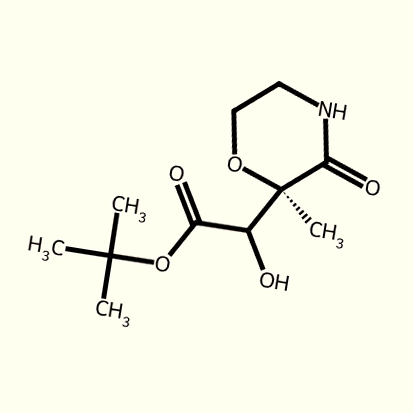 CC(C)(C)OC(=O)C(O)[C@@]1(C)OCCNC1=O